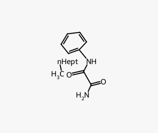 CCCCCCCC.NC(=O)C(=O)Nc1ccccc1